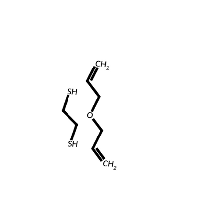 C=CCOCC=C.SCCS